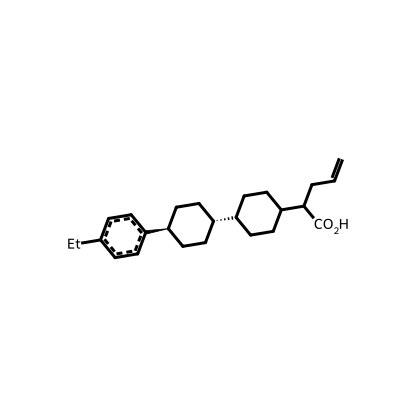 C=CCC(C(=O)O)C1CCC([C@H]2CC[C@H](c3ccc(CC)cc3)CC2)CC1